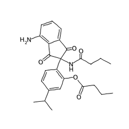 CCCC(=O)NC1(c2ccc(C(C)C)cc2OC(=O)CCC)C(=O)c2cccc(N)c2C1=O